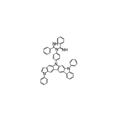 N=C(c1ccccc1)N(C(=N)c1ccccc1)c1ccc(-n2c3cc4ccn(-c5ccccc5)c4cc3c3cc4c5ccccc5n(-c5ccccc5)c4cc32)cc1